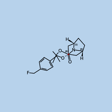 CC(C)(C)OC(=O)N1[C@@H]2CC[C@H]1C[C@@H](OCc1ccc(CF)cc1)C2